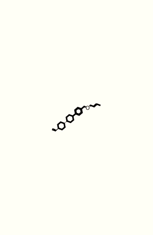 C=C[C@H]1CC[C@H](C2CCC(c3ccc(COC/C=C/C)cc3)CC2)CC1